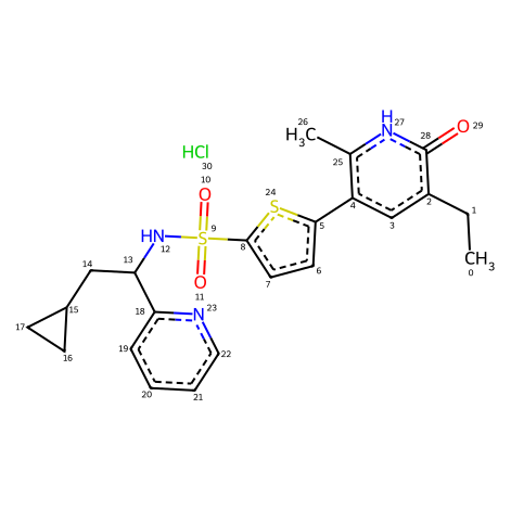 CCc1cc(-c2ccc(S(=O)(=O)NC(CC3CC3)c3ccccn3)s2)c(C)[nH]c1=O.Cl